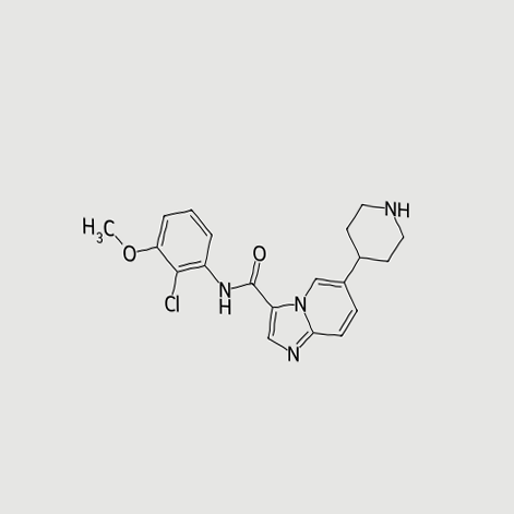 COc1cccc(NC(=O)c2cnc3ccc(C4CCNCC4)cn23)c1Cl